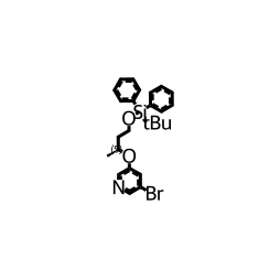 C[C@@H](CCO[Si](c1ccccc1)(c1ccccc1)C(C)(C)C)Oc1cncc(Br)c1